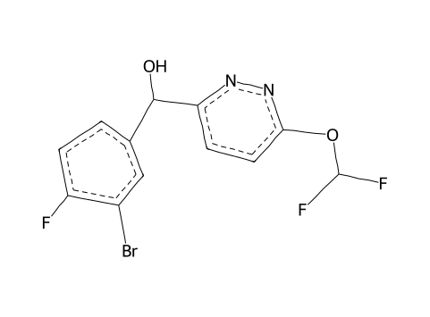 OC(c1ccc(F)c(Br)c1)c1ccc(OC(F)F)nn1